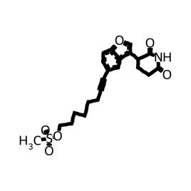 CS(=O)(=O)OCCCCCCC#Cc1ccc2occ(C3CCC(=O)NC3=O)c2c1